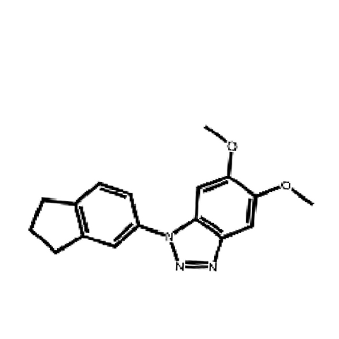 COc1cc2nnn(-c3ccc4c(c3)CCC4)c2cc1OC